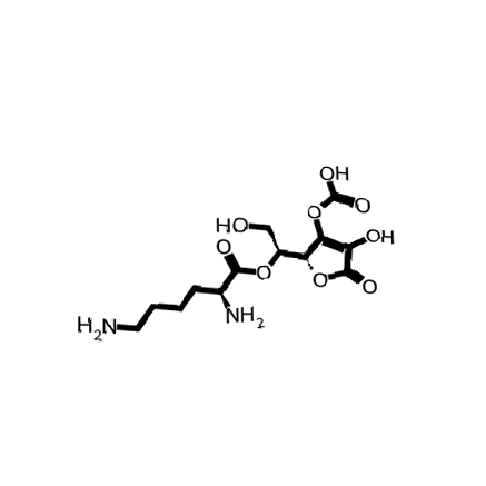 NCCCC[C@H](N)C(=O)O[C@@H](CO)[C@H]1OC(=O)C(O)=C1OC(=O)O